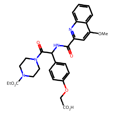 CCOC(=O)N1CCN(C(=O)C(NC(=O)c2cc(OC)c3ccccc3n2)c2ccc(OCC(=O)O)cc2)CC1